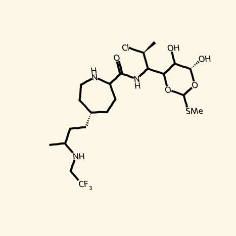 CSC1OC(C(NC(=O)C2CC[C@H](CCC(C)NCC(F)(F)F)CCN2)[C@H](C)Cl)C(O)[C@H](O)O1